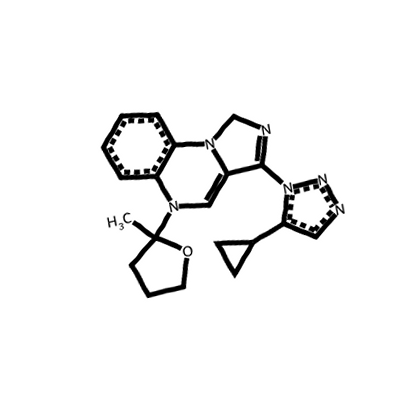 CC1(N2C=C3C(n4nncc4C4CC4)=NCN3c3ccccc32)CCCO1